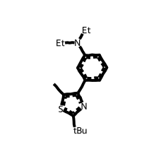 CCN(CC)c1cccc(-c2nc(C(C)(C)C)sc2C)c1